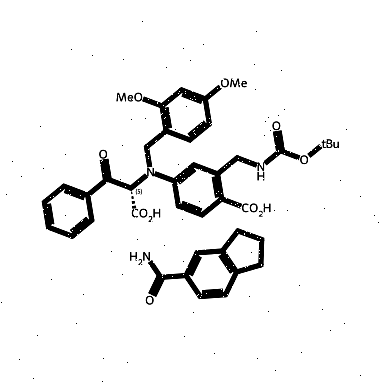 COc1ccc(CN(c2ccc(C(=O)O)c(CNC(=O)OC(C)(C)C)c2)[C@H](C(=O)O)C(=O)c2ccccc2)c(OC)c1.NC(=O)c1ccc2c(c1)CCC2